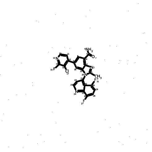 Cc1nc2c(C(N)=O)cc(-c3ccnc(F)c3Cl)cc2n1-c1ccnc2c(F)ccc(F)c12